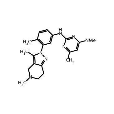 CNc1cc(C)nc(Nc2ccc(C)c(-n3nc4c(c3C)CN(C)CC4)c2)n1